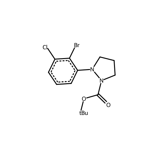 CC(C)(C)OC(=O)N1CCCN1c1cccc(Cl)c1Br